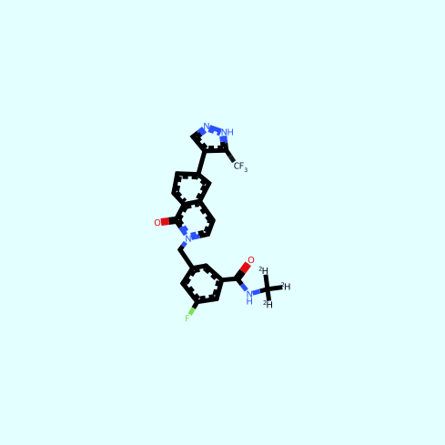 [2H]C([2H])([2H])NC(=O)c1cc(F)cc(Cn2ccc3cc(-c4cn[nH]c4C(F)(F)F)ccc3c2=O)c1